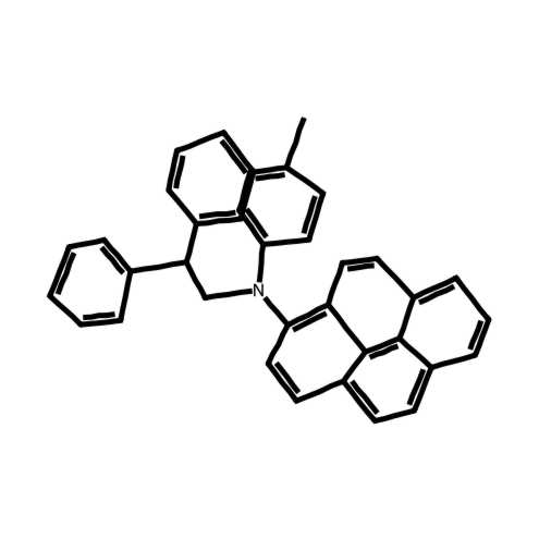 Cc1ccc(N(CC(c2ccccc2)c2ccccc2)c2ccc3ccc4cccc5ccc2c3c45)cc1